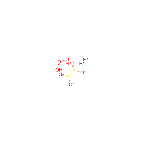 O=S([O-])S(=O)[O-].OOO.[H+].[H+]